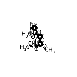 CCOc1cc(C(=O)NCC(C)C)cc(-c2ccc3c(c2)C(C(=O)NC)C(c2ccc(F)cc2)O3)c1